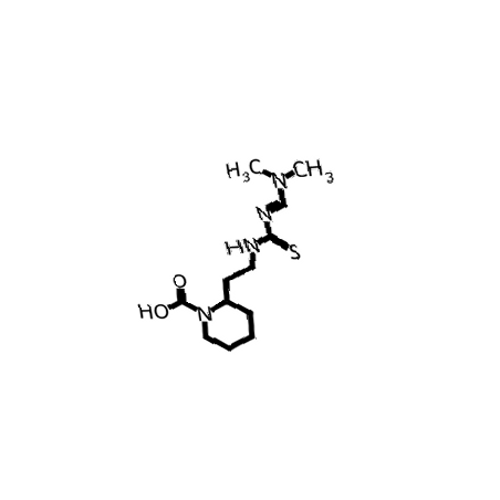 CN(C)C=NC(=S)NCCC1CCCCN1C(=O)O